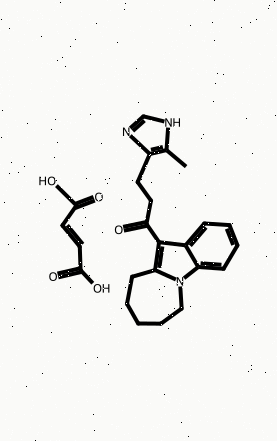 Cc1[nH]cnc1CCC(=O)c1c2n(c3ccccc13)CCCCC2.O=C(O)C=CC(=O)O